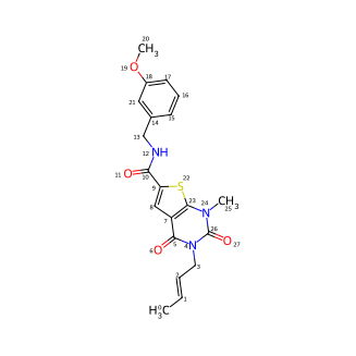 C/C=C/Cn1c(=O)c2cc(C(=O)NCc3cccc(OC)c3)sc2n(C)c1=O